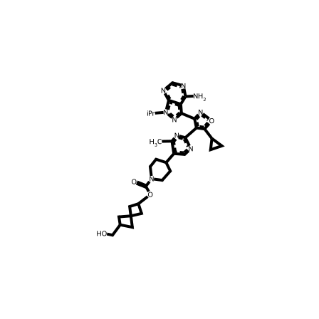 Cc1nc(-c2c(-c3nn(C(C)C)c4ncnc(N)c34)noc2C2CC2)ncc1C1CCN(C(=O)OC2CC3(CC(CO)C3)C2)CC1